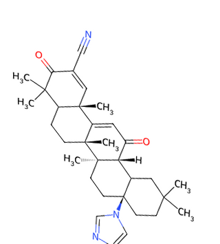 CC1(C)CC[C@]2(n3ccnc3)CC[C@]3(C)[C@H](C(=O)C=C4[C@@]5(C)C=C(C#N)C(=O)C(C)(C)C5CC[C@]43C)C2C1